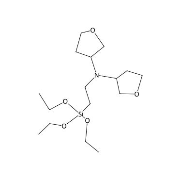 CCO[Si](CCN(C1CCOC1)C1CCOC1)(OCC)OCC